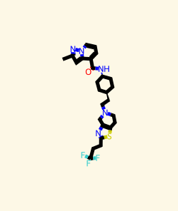 Cc1cc2c(C(=O)N[C@H]3CC[C@H](CCN4CCc5sc(CCC(F)(F)F)nc5C4)CC3)cccn2n1